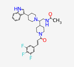 CC(=O)NCC(C1CCN(C(=O)C=Cc2cc(F)c(F)c(F)c2)CC1)N1CCC(c2c[nH]c3ccccc23)CC1